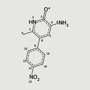 Cc1[nH]c(=O)c(N)cc1-c1ccc([N+](=O)[O-])cc1